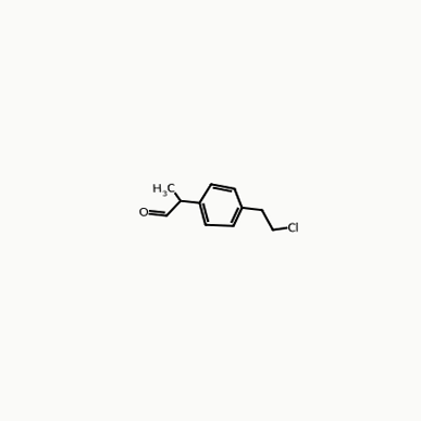 CC(C=O)c1ccc(CCCl)cc1